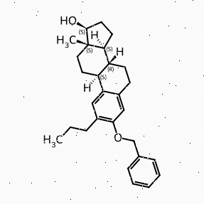 CCCc1cc2c(cc1OCc1ccccc1)CC[C@@H]1[C@@H]2CC[C@]2(C)[C@@H](O)CC[C@@H]12